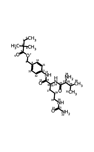 CCC(C)(C)C(=O)OCc1ccc(NC(=O)[C@H](CCCNC(N)=O)NC(=O)[C@@H](N)C(C)C)cc1